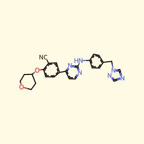 N#Cc1cc(-c2ccnc(Nc3ccc(Cn4cncn4)cc3)n2)ccc1OC1CCOCC1